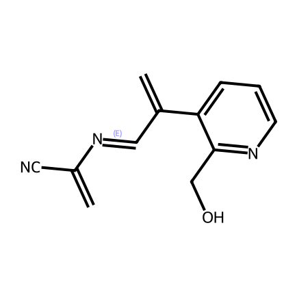 C=C(C#N)/N=C/C(=C)c1cccnc1CO